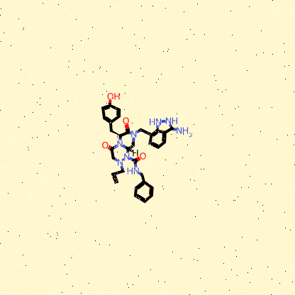 C=CCN1CC(=O)N2[C@@H](Cc3ccc(O)cc3)C(=O)N(Cc3cccc4c3NNC4N)C[C@@H]2N1C(=O)NCc1ccccc1